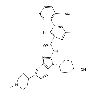 COc1ccncc1-c1nc(C)cc(C(=O)Nc2nc3cc(C4CCN(C)CC4)ccc3n2[C@H]2CC[C@@H](O)CC2)c1F